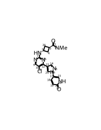 CNC(=O)[C@H]1C[C@H](Nc2ncc(Cl)c(-c3cnn(-c4ccc(=O)[nH]c4)c3)n2)C1